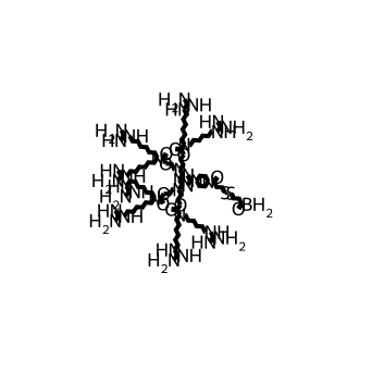 BC(=O)CCSSCCC(=O)N1CCN(c2nc(N(CCOC(=O)N(CCCCCCNC(=N)N)CCCCCCNC(=N)N)CCOC(=O)N(CCCCCCNC(=N)N)CCCCCCNC(=N)N)nc(N(CCOC(=O)N(CCCCCCNC(=N)N)CCCCCCNC(=N)N)CCOC(=O)N(CCCCCCNC(=N)N)CCCCCCNC(=N)N)n2)CC1